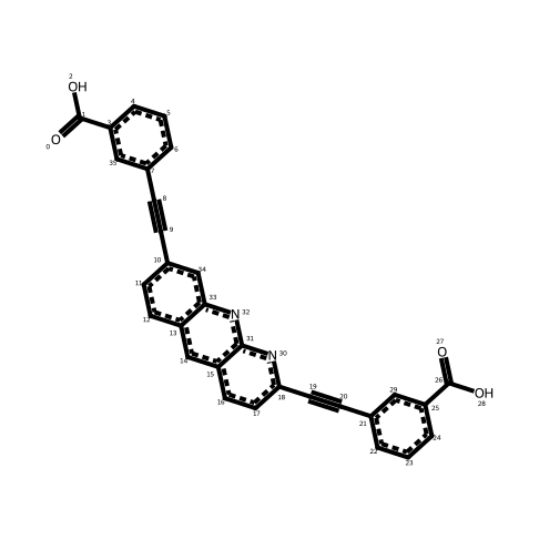 O=C(O)c1cccc(C#Cc2ccc3cc4ccc(C#Cc5cccc(C(=O)O)c5)nc4nc3c2)c1